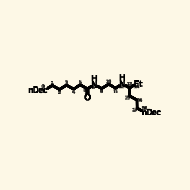 CCCCCCCCCCCCCCCC(=O)NCCCNC(CC)CCCCCCCCCCCCC